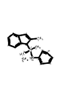 CC1=Cc2ccccc2[CH]1[Ti]([CH3])([CH3])[NH]c1ccccc1.[SiH4]